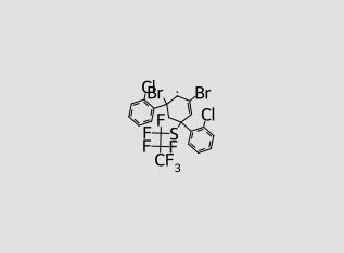 FC(F)(F)C(F)(F)C(F)(F)SC1(c2ccccc2Cl)C=C(Br)[CH]C(Br)(c2ccccc2Cl)C1